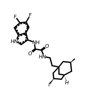 C[C@H]1C[C@H]2C[C@@H](I)CC(CCNC(=O)C(=O)Nc3c[nH]c4cc(F)c(F)cc34)(C1)C2